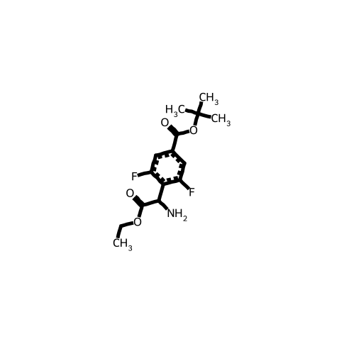 CCOC(=O)C(N)c1c(F)cc(C(=O)OC(C)(C)C)cc1F